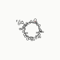 CC[C@H](C)[C@@H]1NC(=O)[C@H](CC(C)C)N(C)C(=O)C[C@@H](C(=O)N(C)C)N(C)C(=O)[C@H](C2CCCC2)N(C)C(=O)C2(CCCC2)NC(=O)[C@H](CC(=O)N2CCC2)N(C)C(=O)[C@H](CCc2ccc(C(F)(F)F)c(Cl)c2)NC(=O)CN(C)C(=O)[C@H](CC2CCCCC2)N(C)C(=O)[C@@H]2CCN2C(=O)[C@H](C)N(C)C1=O